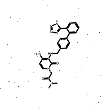 CN(C)C(=O)Cn1ccc(N)c(NCc2ccc(-c3ccccc3-c3nnn[nH]3)cc2)c1=O